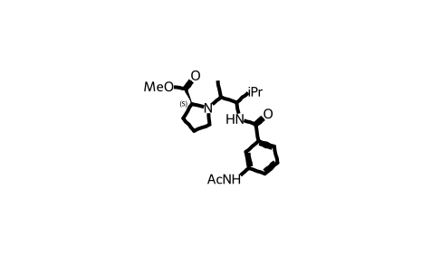 COC(=O)[C@@H]1CCCN1C(C)C(NC(=O)c1cccc(NC(C)=O)c1)C(C)C